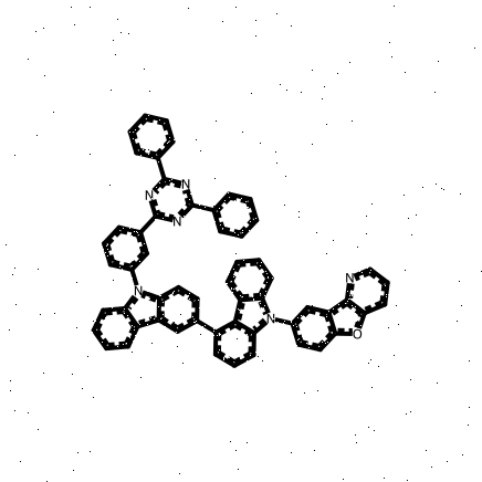 c1ccc(-c2nc(-c3ccccc3)nc(-c3cccc(-n4c5ccccc5c5cc(-c6cccc7c6c6ccccc6n7-c6ccc7oc8cccnc8c7c6)ccc54)c3)n2)cc1